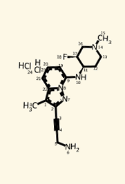 Cc1c(C#CCN)nn2c(N[C@@H]3CCN(C)C[C@@H]3F)cccc12.Cl.Cl